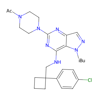 CCC(C)n1ncc2nc(N3CCN(C(C)=O)CC3)nc(NCC3(c4ccc(Cl)cc4)CCC3)c21